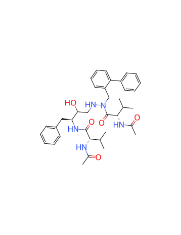 CC(=O)N[C@H](C(=O)N[C@@H](Cc1ccccc1)C(O)CNN(Cc1ccccc1-c1ccccc1)C(=O)[C@@H](NC(C)=O)C(C)C)C(C)C